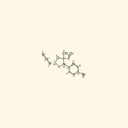 CC1(C=O)O[C@@H](N=[N+]=[N-])CN1c1ccc(Br)cn1